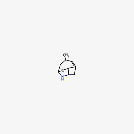 CC1C=C2CC3NC(C1)CC23